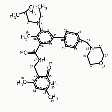 CCN(CC(C)C)c1cc(-c2ccc(CN3CCOCC3)cc2)cc(C(=O)NCc2c(C)cc(C)[nH]c2=O)c1C